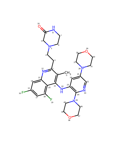 Cc1c(CCN2CCNC(=O)C2)nc2cc(F)cc(F)c2c1Nc1cc(N2CCOCC2)cnc1N1CCOCC1